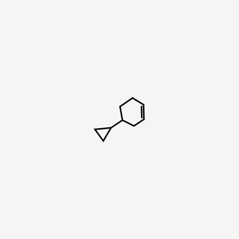 C1=CCC(C2CC2)CC1